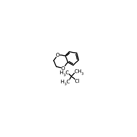 CC(C)(C)Cl.c1ccc2c(c1)OCCO2